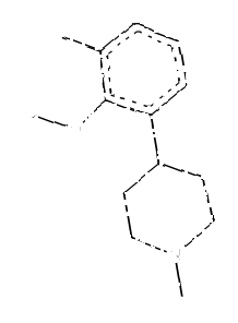 COc1c(F)cccc1C1CCN(C)CC1